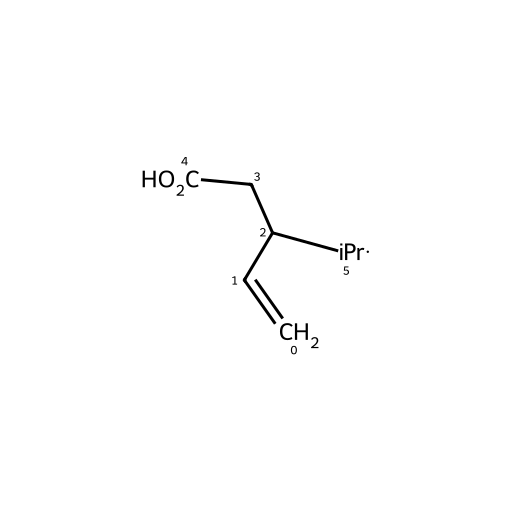 C=CC(CC(=O)O)[C](C)C